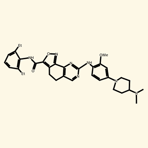 CCc1cccc(CC)c1NC(=O)c1onc2c1CCc1cnc(Nc3ccc(N4CCC(N(C)C)CC4)cc3OC)nc1-2